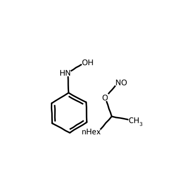 CCCCCCC(C)ON=O.ONc1ccccc1